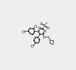 CS(=O)(=O)c1nc(OCC2CCC2)c(-c2ccc(Cl)cc2)c(-c2ccc(Cl)cc2Cl)n1